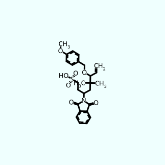 C=CC(OCc1ccc(OC)cc1)C(C)(C)CC(CCS(=O)(=O)O)N1C(=O)c2ccccc2C1=O